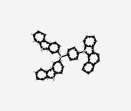 c1ccc2c(c1)ccc1c3ccccc3n(-c3ccc(N(c4ccc5c(c4)oc4ccccc45)c4ccc5oc6ccccc6c5c4)cc3)c21